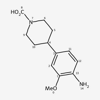 COc1cc(C2CCN(C(=O)O)CC2)ccc1N